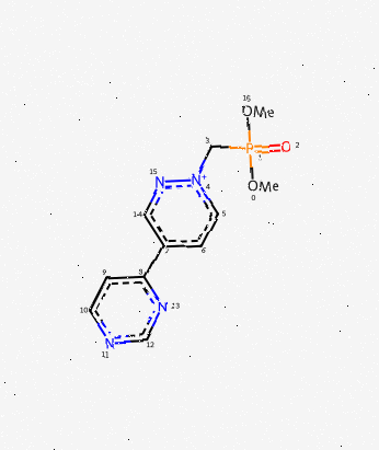 COP(=O)(C[n+]1ccc(-c2ccncn2)cn1)OC